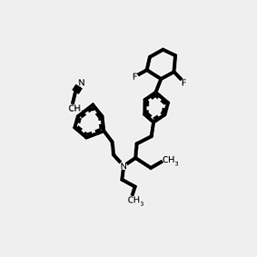 CC#N.CCCN(CCc1ccccc1)C(CC)CCc1ccc(C2C(F)CCCC2F)cc1